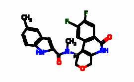 Cc1ccc2[nH]c(C(=O)N(C)[C@H]3COCc4[nH]c(=O)c5cc(F)c(F)cc5c43)cc2c1